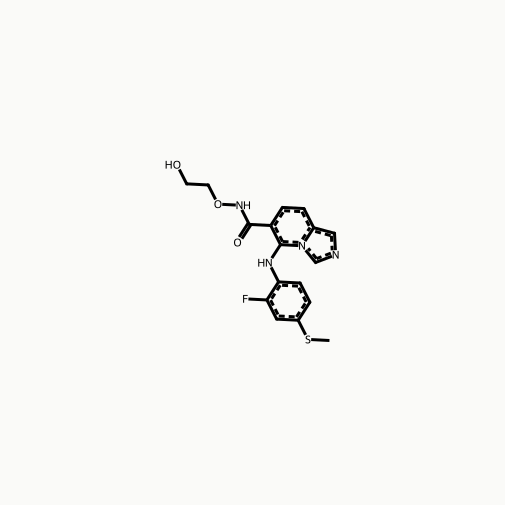 CSc1ccc(Nc2c(C(=O)NOCCO)ccc3cncn23)c(F)c1